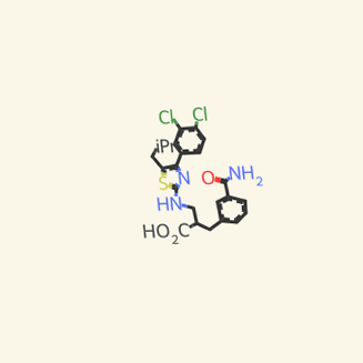 CC(C)Cc1sc(NCC(Cc2cccc(C(N)=O)c2)C(=O)O)nc1-c1ccc(Cl)c(Cl)c1